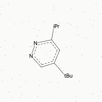 CC(C)c1cc(C(C)(C)C)cnn1